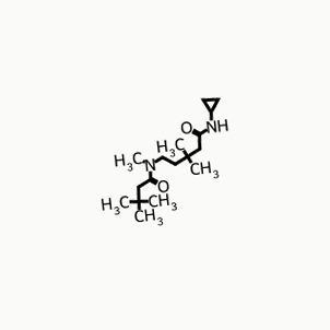 CN(CCC(C)(C)CC(=O)NC1CC1)C(=O)CC(C)(C)C